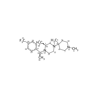 C[C@H]1CN(C2(C)CCN(C)CC2)CCN1[C@@H](C)c1ccc(C(F)(F)F)cc1